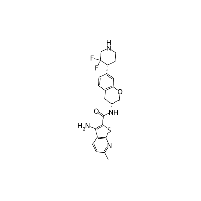 Cc1ccc2c(N)c(C(=O)N[C@H]3COc4cc([C@H]5CCNCC5(F)F)ccc4C3)sc2n1